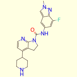 Cn1cc2cc(NC(=O)N3CCc4c(C5CCNCC5)ccnc43)cc(F)c2n1